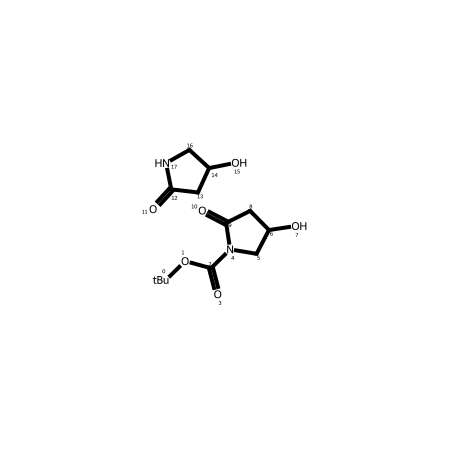 CC(C)(C)OC(=O)N1CC(O)CC1=O.O=C1CC(O)CN1